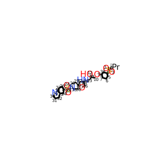 CC(C)S(=O)(=O)c1cccc(OC[C@@H](O)CN[C@H]2COC3(CCN(S(=O)(=O)c4ccc5ncccc5c4)CC3)C2)c1